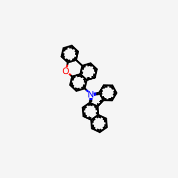 c1ccc2c(c1)Oc1ccc(-n3c4ccccc4c4c5ccccc5ccc43)c3cccc-2c13